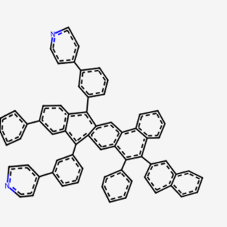 c1ccc(-c2ccc3c(-c4cccc(-c5ccncc5)c4)c4cc5c(cc4c(-c4cccc(-c6ccncc6)c4)c3c2)c(-c2ccccc2)c(-c2ccc3ccccc3c2)c2ccccc25)cc1